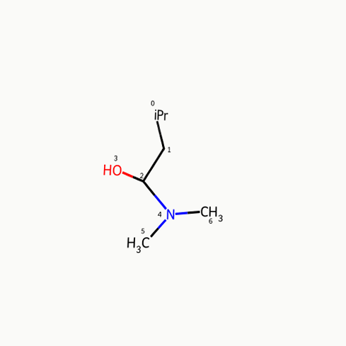 CC(C)CC(O)N(C)C